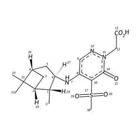 C[C@@H]1[C@H]2C[C@@H](C[C@H]1Nc1cnn(CC(=O)O)c(=O)c1S(C)(=O)=O)C2(C)C